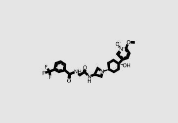 COc1ccc([C@]2(O)CC[C@H](N3CC(NC(=O)CNC(=O)c4cccc(C(F)(F)F)c4)C3)CC2)c[n+]1[O-]